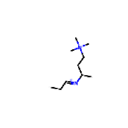 [CH2]C/[C]=N/C(C)CC[N+](C)(C)C